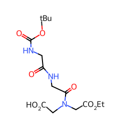 CCOC(=O)CN(CC(=O)O)C(=O)CNC(=O)CNC(=O)OC(C)(C)C